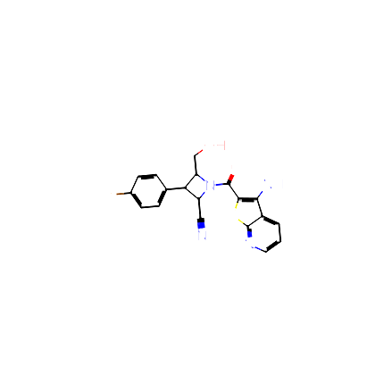 N#CC1C(c2ccc(Br)cc2)C(CO)N1C(=O)c1sc2ncccc2c1N